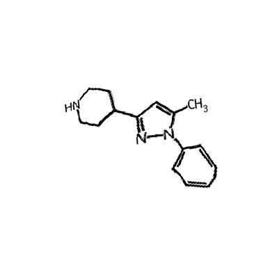 Cc1cc(C2CCNCC2)nn1-c1ccccc1